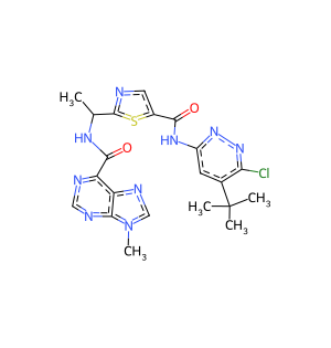 CC(NC(=O)c1ncnc2c1ncn2C)c1ncc(C(=O)Nc2cc(C(C)(C)C)c(Cl)nn2)s1